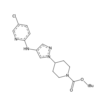 CC(C)(C)OC(=O)N1CCC(n2cc(Nc3ccc(Cl)cn3)cn2)CC1